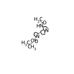 C=CC(=O)Nc1ccnc2ccc(-c3cccc(C(=O)OCC(C)C)n3)cc12